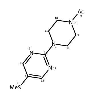 CSc1cnc(N2CCN(C(C)=O)CC2)nc1